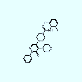 O=C(Nc1c(F)cccc1F)N1CCN(c2cnn(-c3ccccc3)c(=O)c2N2CCOCC2)CC1